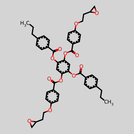 CCCc1ccc(C(=O)Oc2cc(OC(=O)c3ccc(OCCC4CO4)cc3)c(OC(=O)c3ccc(CCC)cc3)cc2OC(=O)c2ccc(OCCC3CO3)cc2)cc1